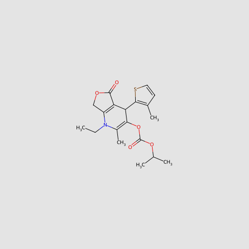 CCN1C(C)=C(OC(=O)OC(C)C)C(c2sccc2C)C2=C1COC2=O